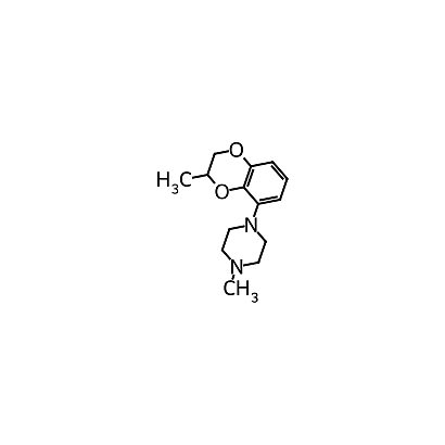 CC1COc2cccc(N3CCN(C)CC3)c2O1